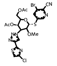 COC1C(n2cc(-c3nc(Cl)cs3)nn2)[C@@H](OC(C)=O)C(COC(C)=O)O[C@@H]1Sc1cnc(C#N)c(Br)c1